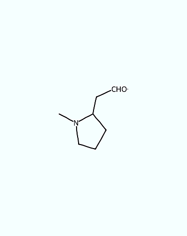 CN1CCCC1C[C]=O